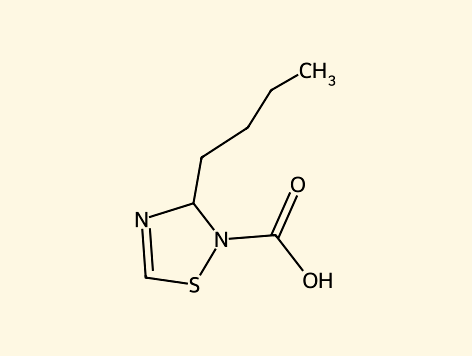 CCCCC1N=CSN1C(=O)O